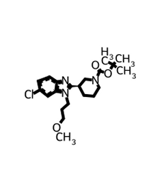 COCCCn1c([C@@H]2CCCN(C(=O)OC(C)(C)C)C2)nc2ccc(Cl)cc21